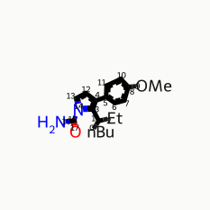 CCCCC(CC)c1c(-c2ccc(OC)cc2)ccn1C(N)=O